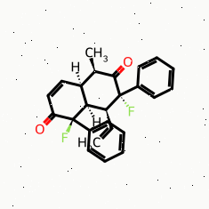 C=C[C@H]1[C@@H]2[C@@H](C=CC(=O)[C@@]2(F)c2ccccc2)[C@@H](C)C(=O)[C@@]1(F)c1ccccc1